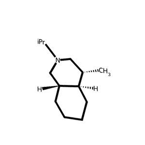 CC(C)N1C[C@H]2CCCC[C@@H]2[C@@H](C)C1